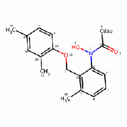 COC(=O)N(O)c1cccc(C)c1COc1ccc(C)cc1C